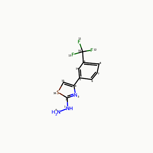 NNc1nc(-c2cccc(C(F)(F)F)c2)cs1